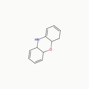 C1=CCC2OC3C=CC=CC3NC2=C1